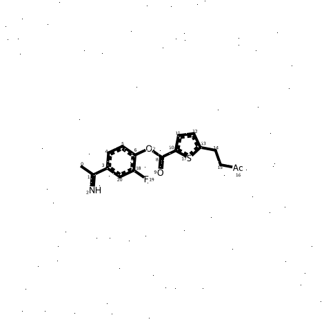 CC(=N)c1ccc(OC(=O)c2ccc(CCC(C)=O)s2)c(F)c1